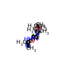 Cc1cc(NC(=O)N2CCc3c(N4C[C@@H](C)N(C(=O)OC(C)(C)C)[C@@H](C)C4)ccnc32)cc2cn(C)nc12